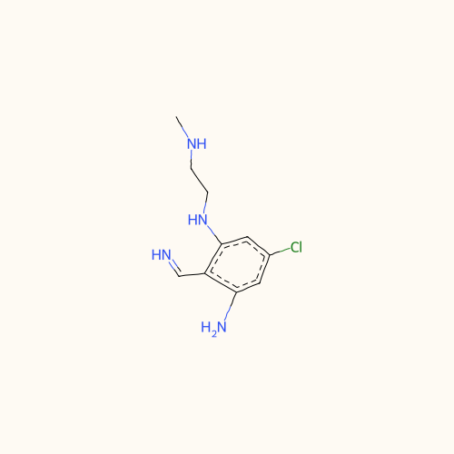 CNCCNc1cc(Cl)cc(N)c1C=N